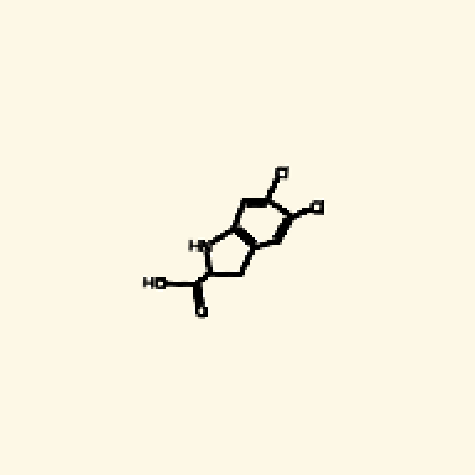 O=C(O)C1Cc2cc(Cl)c(Cl)cc2N1